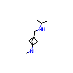 CNC12CC(CNC(C)C)(C1)C2